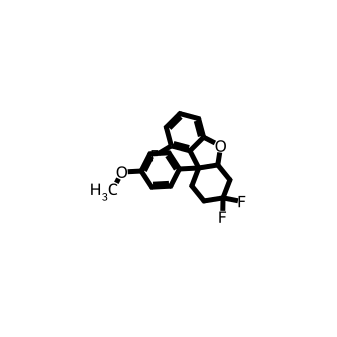 COc1ccc(C23CCC(F)(F)CC2Oc2cccc(F)c23)cc1